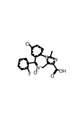 Cc1nc(C(=O)O)c2n1-c1ccc(Cl)cc1C(c1ccccc1F)=[N+]([O-])C2